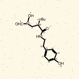 CCCC[C@H](CN(O)C=O)C(=O)NCCc1ccc(O)cc1